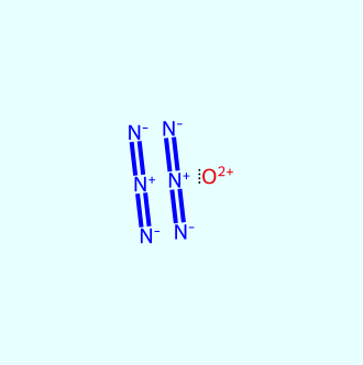 [N-]=[N+]=[N-].[N-]=[N+]=[N-].[O+2]